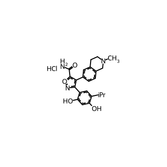 CC(C)c1cc(-c2noc(C(N)=O)c2-c2ccc3c(c2)CCN(C)C3)c(O)cc1O.Cl